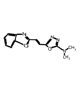 CN(C)c1nnc(C=Cc2nc3ccccc3o2)o1